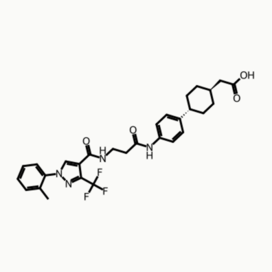 Cc1ccccc1-n1cc(C(=O)NCCC(=O)Nc2ccc([C@H]3CC[C@H](CC(=O)O)CC3)cc2)c(C(F)(F)F)n1